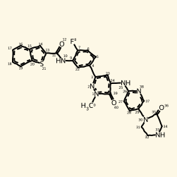 Cn1nc(-c2ccc(F)c(NC(=O)c3cc4ccccc4s3)c2)cc(Nc2ccc(N3CCNCC3=O)cn2)c1=O